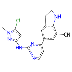 Cn1nc(Nc2nccc(-c3cc(C#N)c4c(c3)CCN4)n2)cc1Cl